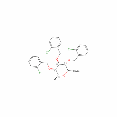 COC1O[C@@H](C)[C@@H](OCc2ccccc2Cl)[C@@H](OCc2ccccc2Cl)[C@@H]1OCc1ccccc1Cl